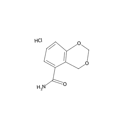 Cl.NC(=O)c1cccc2c1COCO2